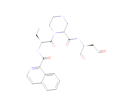 CC[C@H](NC(=O)c1nccc2ccccc12)C(=O)N1CCNCC1C(=O)N[C@H](C=O)CC=O